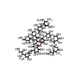 CC(=O)NC1C(O)[C@H](O[C@@H]2OC(CO[C@]3(O)C[C@@H](O)[C@@H](C)C([C@H](O)C(O)CO)O3)[C@H](O)[C@H](O)C2O)[C@H](CO)O[C@H]1OC1[C@@H](OCC2O[C@@H](O[C@@H]3C(CO)O[C@@H](O[C@@H]4C(CO)O[C@@H](C)C(NC(C)=O)[C@H]4O)C(NC(C)=O)[C@H]3O)C(O)[C@@H](O[C@H]3OC(CO)[C@@H](O)C(O)C3O[C@@H]3OC(CO)[C@@H](O[C@@H]4OC(CO[C@]5(O)C[C@@H](O)[C@@H](C)C([C@H](O)C(O)CO)O5)[C@H](O)[C@H](O)C4O)[C@H](O)C3NC(C)=O)[C@@H]2O)OC(CO)[C@@H](O)[C@@H]1O